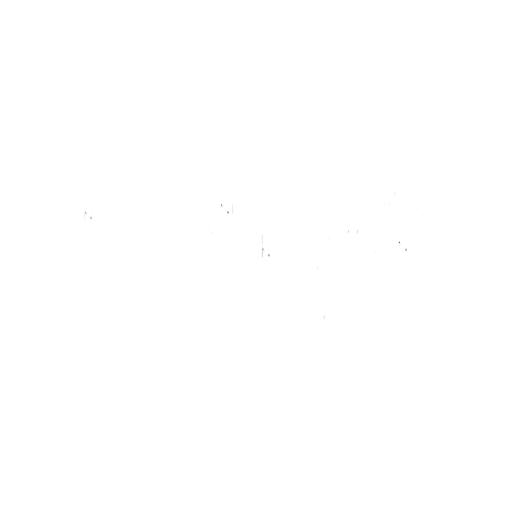 NCCCC[C@H](N)C(=O)NCC(=O)C(CC(=O)N1CCC[C@H]1C(=O)O)C(F)(F)F